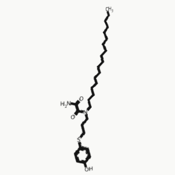 CCCCCCCCCCCCCCCCCCN(CCCSc1ccc(O)cc1)C(=O)C(N)=O